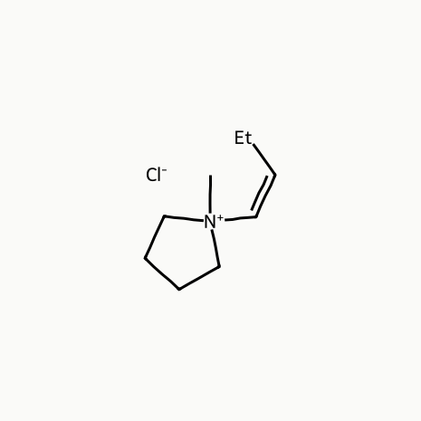 CC/C=C\[N+]1(C)CCCC1.[Cl-]